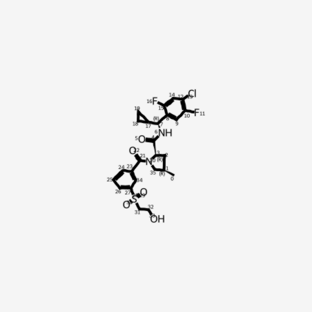 C[C@@H]1C[C@H](C(=O)N[C@@H](c2cc(F)c(Cl)cc2F)C2CC2)N(C(=O)c2cccc(S(=O)(=O)CCO)c2)C1